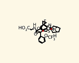 O=C(O)CNC(=O)c1cc(F)c2nc(N3C4CC[C@H]3CC(OCc3c(-c5ccccc5OC(F)(F)F)noc3C3CC3)C4)sc2c1